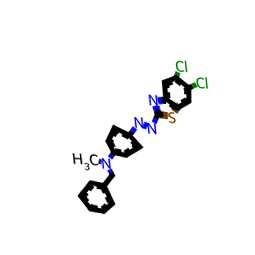 CN(Cc1ccccc1)c1ccc(N=Nc2nc3cc(Cl)c(Cl)cc3s2)cc1